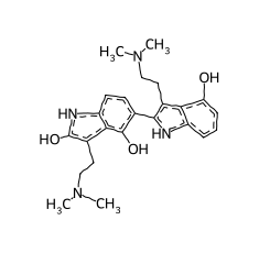 CN(C)CCc1c(-c2ccc3[nH]c(O)c(CCN(C)C)c3c2O)[nH]c2cccc(O)c12